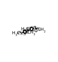 C=CC(=O)Oc1ccc(C(C)(C)c2ccc(CCC)cc2)cc1